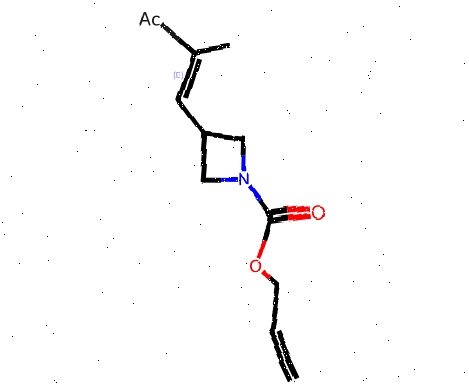 C=CCOC(=O)N1CC(/C=C(\C)C(C)=O)C1